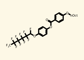 CCCCCCCCOc1ccc(C(=O)Oc2ccc(OC(F)C(F)(F)C(F)(F)C(F)(F)C(F)(F)C(F)(F)F)cc2)cc1